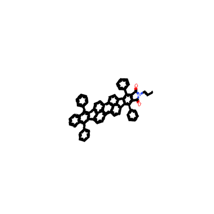 CCCN1C(=O)c2c(c(-c3ccccc3)c3c(c2-c2ccccc2)-c2ccc4c5ccc6c7c(ccc(c8ccc-3c2c48)c75)-c2c-6c(-c3ccccc3)c3ccccc3c2-c2ccccc2)C1=O